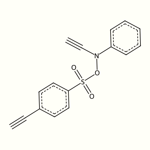 C#Cc1ccc(S(=O)(=O)ON(C#C)c2ccccc2)cc1